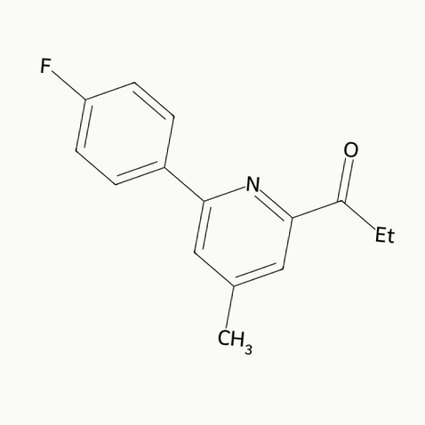 CCC(=O)c1cc(C)cc(-c2ccc(F)cc2)n1